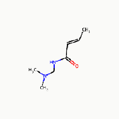 CC=CC(=O)NCN(C)C